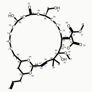 C=CC[C@H]1C[C@H]2CCOCC[C@@H](O)CC(=O)O[C@@H](CO)CCC/C(=C\C(=O)OC)[C@H](OC(C)=O)[C@@](O)(OC)C(C)(C)/C=C/[C@H](O2)O1